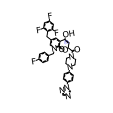 O=C(/C=C(/O)c1cc(Cc2c(F)cc(F)cc2F)cn(Cc2ccc(F)cc2)c1=O)C(=O)N1CCN(c2ccc(-n3cncn3)cc2)CC1